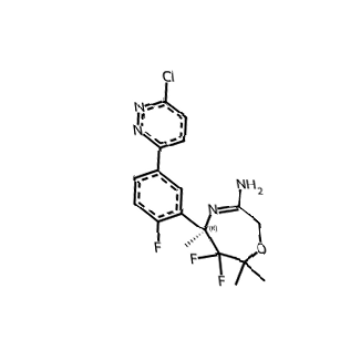 CC1(C)OCC(N)=N[C@](C)(c2cc(-c3ccc(Cl)nn3)ccc2F)C1(F)F